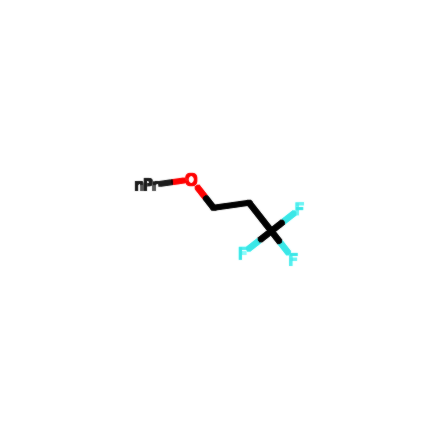 [CH2]CCOCCC(F)(F)F